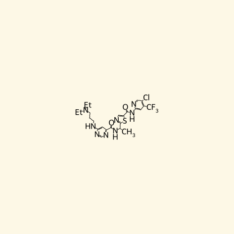 CCN(CC)CCCNc1cc(C(=O)NC(C)c2ncc(C(=O)Nc3cc(C(F)(F)F)c(Cl)cn3)s2)ncn1